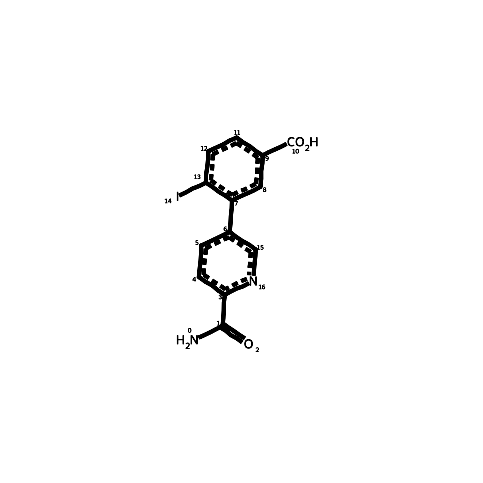 NC(=O)c1ccc(-c2cc(C(=O)O)ccc2I)cn1